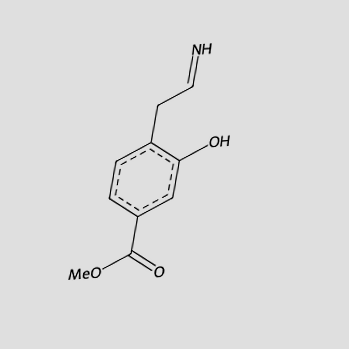 COC(=O)c1ccc(CC=N)c(O)c1